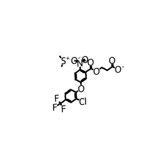 C[S+](C)C.O=C([O-])CCOC(=O)c1cc(Oc2ccc(C(F)(F)F)cc2Cl)ccc1[N+](=O)[O-]